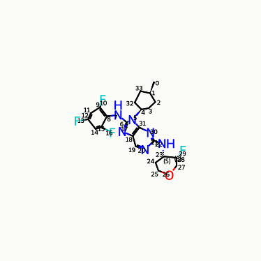 C[C@H]1CC[C@@H](n2c(Nc3c(F)cc(F)cc3F)nc3cnc(N[C@H]4CCOC[C@H]4F)nc32)CC1